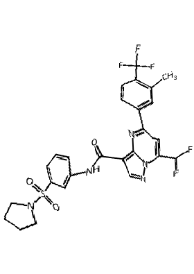 Cc1cc(-c2cc(C(F)F)n3ncc(C(=O)Nc4cccc(S(=O)(=O)N5CCCC5)c4)c3n2)ccc1C(F)(F)F